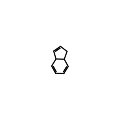 C1=CC2C=CCC2C=C1